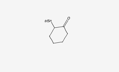 O=C1CCCC[CH]1[SnH]